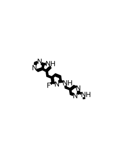 CNc1ncc(CNc2ccc(Cc3c[nH]c4ncncc34)c(F)n2)cn1